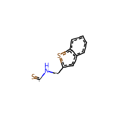 S=[C]NCc1cc2ccccc2s1